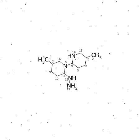 CC1CCC(N2CC(C)CCC2NN)NC1